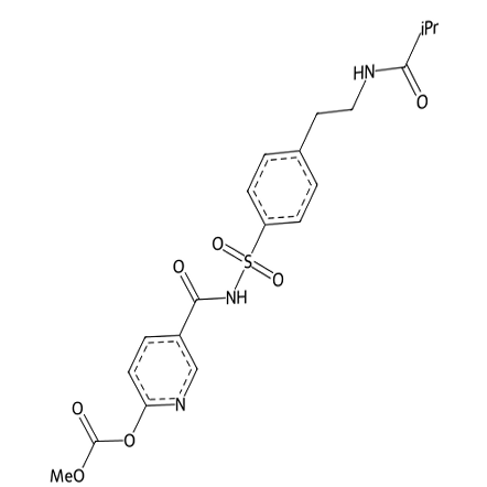 COC(=O)Oc1ccc(C(=O)NS(=O)(=O)c2ccc(CCNC(=O)C(C)C)cc2)cn1